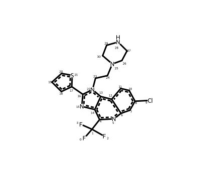 FC(F)(F)c1nc2cc(Cl)ccc2c2c1nc(-c1cccs1)n2CCN1CCNCC1